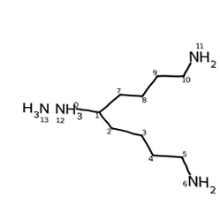 CC(CCCCN)CCCCN.N.N